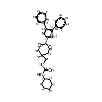 C[C@]1(COC(=O)NC2CCCCC2)CO[C@@H](c2nc(-c3ccccc3)c(-c3ccccc3)[nH]2)OC1